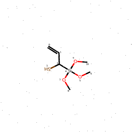 C=CC(S)[Si](OC)(OC)OC